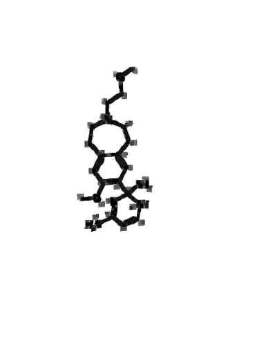 COCCN1CCc2cc(OC)c(C3(N)N=C(N)C=CN3)cc2CC1